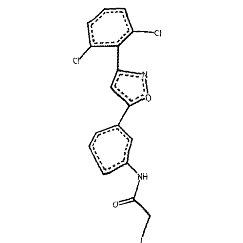 O=C(CI)Nc1cccc(-c2cc(-c3c(Cl)cccc3Cl)no2)c1